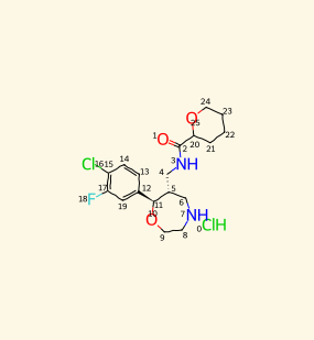 Cl.O=C(NC[C@@H]1CNCCO[C@H]1c1ccc(Cl)c(F)c1)C1CCCCO1